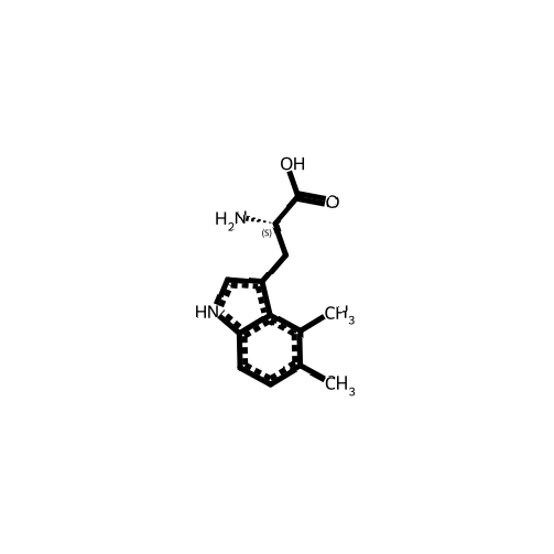 Cc1ccc2[nH]cc(C[C@H](N)C(=O)O)c2c1C